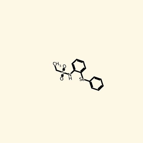 CCS(=O)(=O)Nc1ccccc1[Se]c1ccccc1